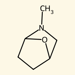 CN1CC2CCC1O2